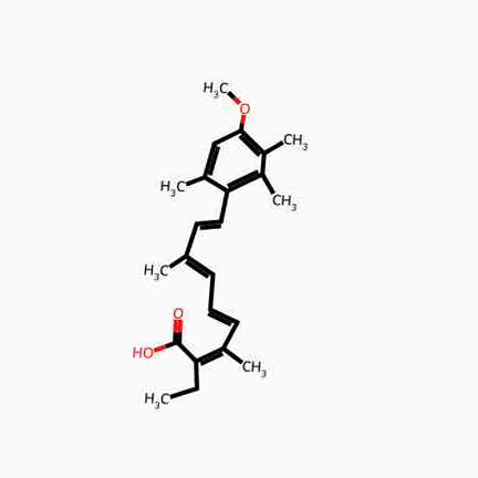 CCC(C(=O)O)=C(C)C=CC=C(C)C=Cc1c(C)cc(OC)c(C)c1C